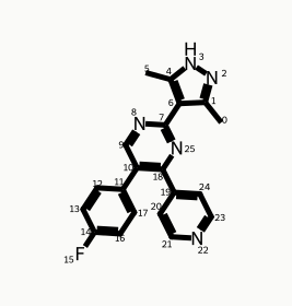 Cc1n[nH]c(C)c1-c1ncc(-c2ccc(F)cc2)c(-c2ccncc2)n1